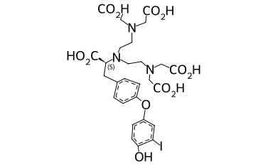 O=C(O)CN(CCN(CCN(CC(=O)O)CC(=O)O)[C@@H](Cc1ccc(Oc2ccc(O)c(I)c2)cc1)C(=O)O)CC(=O)O